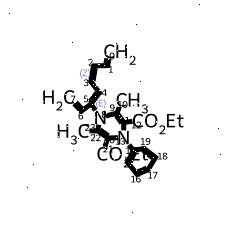 C=C/C=C\C=C(/C=C)N1C(C)=C(C(=O)OCC)N(c2ccccc2)C(C(=O)OCC)=C1C